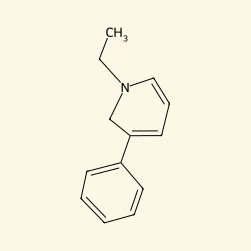 CCN1C=CC=C(c2ccccc2)C1